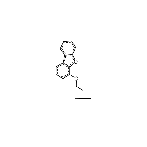 CC(C)(C)CCOc1cccc2c1oc1ccccc12